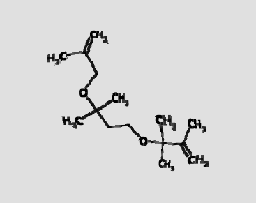 C=C(C)COC(C)(C)CCOC(C)(C)C(=C)C